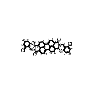 O=C1c2ccc3c4ccc5c6c(ccc(c7ccc(c2c37)C(=O)N1Cc1ccccc1Cl)c64)C(=O)N(Cc1ccccc1Cl)C5=O